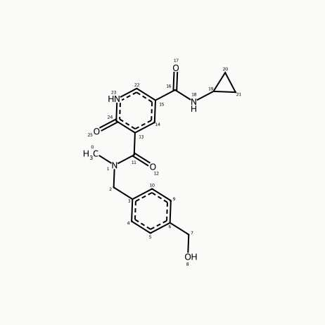 CN(Cc1ccc(CO)cc1)C(=O)c1cc(C(=O)NC2CC2)c[nH]c1=O